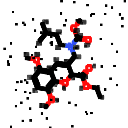 CCOC(=O)C1Oc2c(OC)ccc(OC)c2C=C1CN(CCC(C)C)C(=O)OC